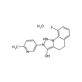 Cc1ccc(N2NN3C(=C2O)CCc2cccc(F)c23)cn1.O